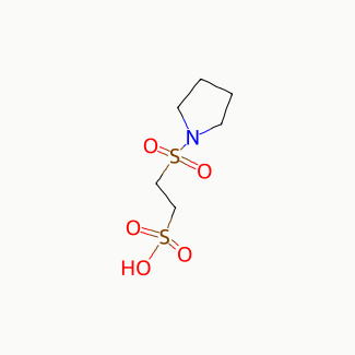 O=S(=O)(O)CCS(=O)(=O)N1CCCC1